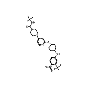 CC(C)(C)NC(=S)N1CCN(c2ccnc(O[C@H]3CC[C@H](Nc4ccc([N+](=O)[O-])c(C(F)(F)F)c4)CC3)c2)CC1